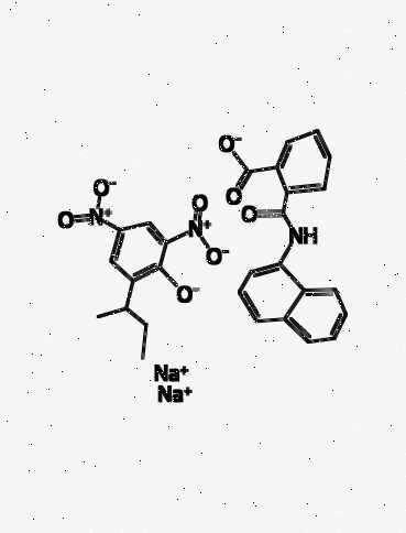 CCC(C)c1cc([N+](=O)[O-])cc([N+](=O)[O-])c1[O-].O=C([O-])c1ccccc1C(=O)Nc1cccc2ccccc12.[Na+].[Na+]